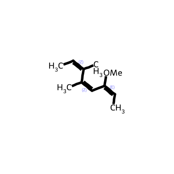 C\C=C(C)/C(C)=C\C(=C/C)OC